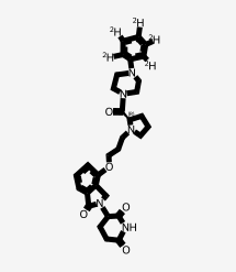 [2H]c1c([2H])c([2H])c(N2CCN(C(=O)[C@H]3CCCN3CCCOc3cccc4c3CN(C3CCC(=O)NC3=O)C4=O)CC2)c([2H])c1[2H]